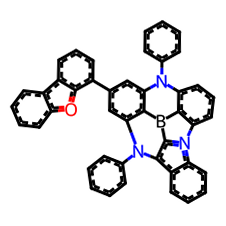 c1ccc(N2c3cc(-c4cccc5c4oc4ccccc45)cc4c3B3c5c2cccc5-n2c3c(c3ccccc32)N4c2ccccc2)cc1